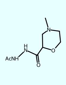 CC(=O)NNC(=O)C1CN(C)CCO1